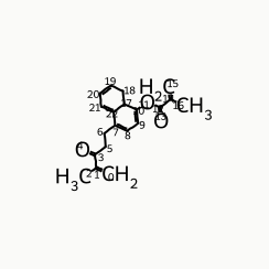 C=C(C)C(=O)CCC1=CC=C(OC(=O)C(=C)C)C2CC=CC=C12